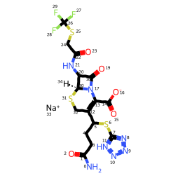 NC(=O)CCC(Sc1nnn[nH]1)C1=C(C(=O)[O-])N2C(=O)C(NC(=O)CSC(F)(F)F)[C@@H]2SC1.[Na+]